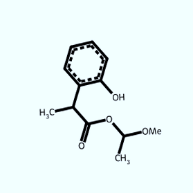 COC(C)OC(=O)C(C)c1ccccc1O